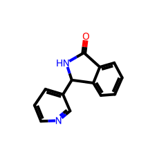 O=C1NC(c2cccnc2)c2ccccc21